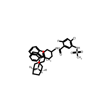 Cc1nc2ccccc2n1C1C[C@H]2CC[C@@H](C1)N2CCC1(c2ccccc2)CCC(NC(=O)c2cc(NS(C)(=O)=O)c(Cl)cc2F)CC1